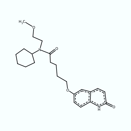 COCCN(C(=O)CCCCOc1ccc2[nH]c(=O)ccc2c1)C1CCCCC1